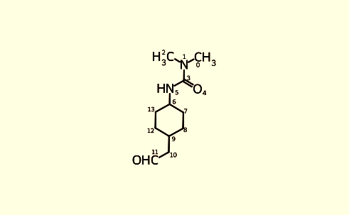 CN(C)C(=O)NC1CCC(CC=O)CC1